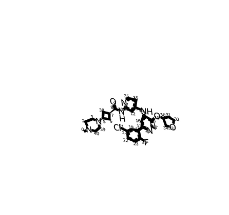 CN1CCN([C@H]2C[C@H](C(=O)Nc3cc(Nc4cc(-c5cc(Cl)ccc5F)nnc4OC4CCOC4)ccn3)C2)CC1